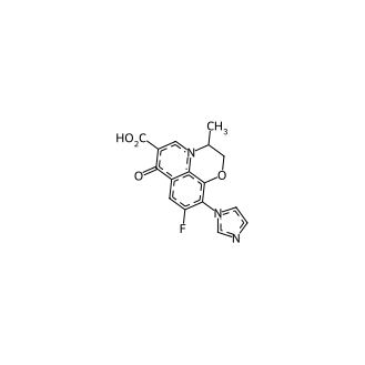 CC1COc2c(-n3ccnc3)c(F)cc3c(=O)c(C(=O)O)cn1c23